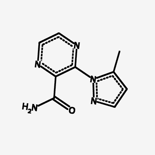 Cc1ccnn1-c1nccnc1C(N)=O